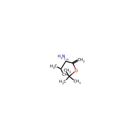 C=C(OC(C)(C)C)[C@@H](N)C(C)C